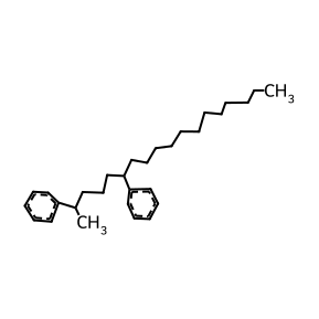 CCCCCCCCCCCCC(CCCC(C)c1ccccc1)c1ccccc1